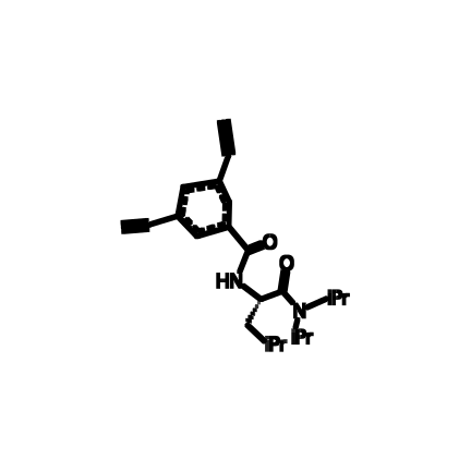 C#Cc1cc(C#C)cc(C(=O)N[C@@H](CC(C)C)C(=O)N(C(C)C)C(C)C)c1